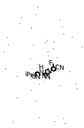 CC(C)Oc1ccc(Nc2ncnc3c2CCN(c2ccc(C#N)c(CF)c2)C3)cn1